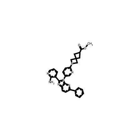 COC(=O)C1CC2(C1)CN(c1ccc(-n3c(-c4cccnc4N)nc4ccc(-c5ccccc5)nc43)cn1)C2